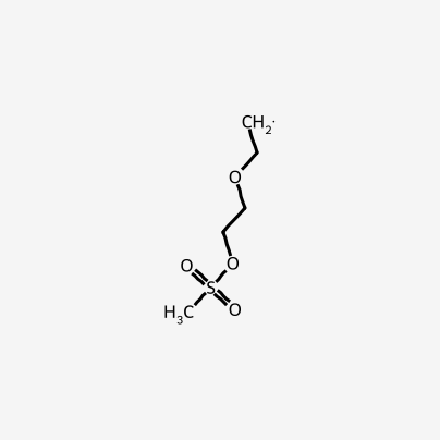 [CH2]COCCOS(C)(=O)=O